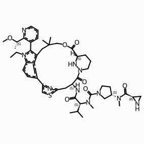 CCn1c(-c2cccnc2[C@H](C)OC)c2c3cc(ccc31)-c1csc(n1)C[C@H](NC(=O)[C@H](C(C)C)N(C)C(=O)N1CC[C@H](N(C)C(=O)[C@H]3CN3)C1)C(=O)N1CCC[C@H](N1)C(=O)OCC(C)(C)C2